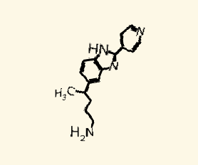 CC(CCCN)c1ccc2[nH]c(-c3ccncc3)nc2c1